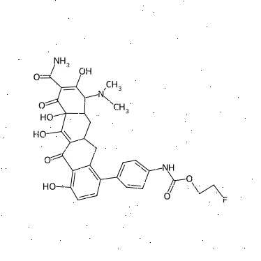 CN(C)C1C(O)=C(C(N)=O)C(=O)C2(O)C(O)=C3C(=O)c4c(O)ccc(-c5ccc(NC(=O)OCCF)cc5)c4CC3CC12